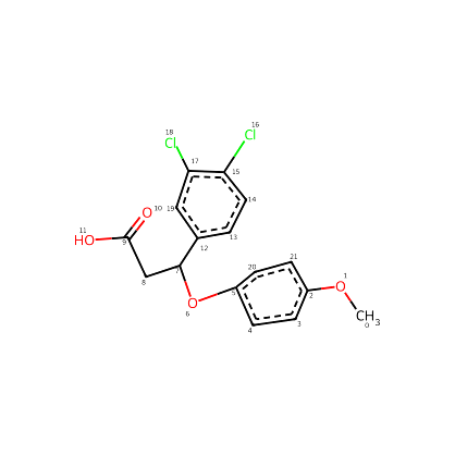 COc1ccc(OC(CC(=O)O)c2ccc(Cl)c(Cl)c2)cc1